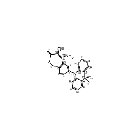 C=C1CCc2ccc(N3c4ccccc4C(C)(C)c4ccccc43)cc2C(N)=C1C#N